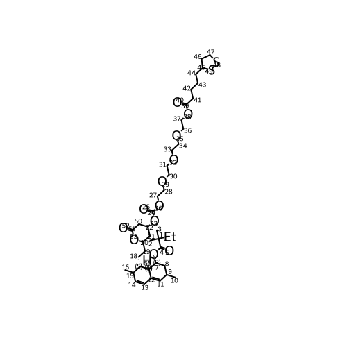 CCC(C)(C)C(=O)O[C@@H]1CC(C)C=C2C=CC(C)[C@H](CCC3CC(OC(=O)OCCOCCOCCOCCOC(=O)CCCCC4CCSS4)CC(=O)O3)[C@@H]21